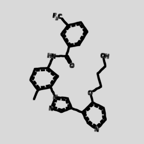 Cc1ccc(NC(=O)c2cccc(C(F)(F)F)c2)cc1-n1cc(-c2cnccc2OCCCO)cn1